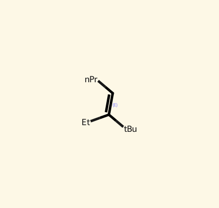 CCC/C=C(\CC)C(C)(C)C